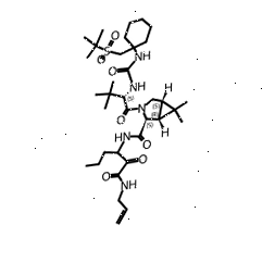 C=CCNC(=O)C(=O)C(CCC)NC(=O)[C@@H]1[C@@H]2[C@H](CN1C(=O)[C@@H](NC(=O)NC1(CS(=O)(=O)C(C)(C)C)CCCCC1)C(C)(C)C)C2(C)C